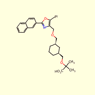 CC(C)c1oc(-c2ccc3ccccc3c2)nc1COC[C@@H]1CCC[C@H](COC(C)(C)C(=O)O)C1